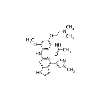 COc1cc(OCCN(C)C)c(NC(C)=O)cc1Nc1nc(-c2cnn(C)c2)c2cc[nH]c2n1